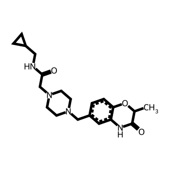 CC1Oc2ccc(CN3CCN(CC(=O)NCC4CC4)CC3)cc2NC1=O